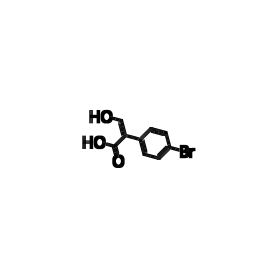 O=C(O)C(=CO)c1ccc(Br)cc1